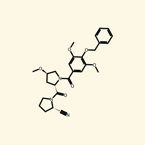 COc1cc(C(=O)N2C[C@H](OC)C[C@H]2C(=O)N2CCC[C@H]2C#N)cc(OC)c1OCc1ccccc1